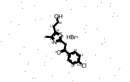 Br.Cc1nc(CC(=O)c2ccc(Cl)cc2)sc1CCO